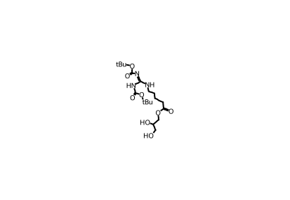 CC(C)(C)OC(=O)N=C(NCCCCC(=O)OCC(O)CO)NC(=O)OC(C)(C)C